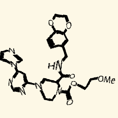 COCCOC(=O)N1CCN(c2cc(-n3ccnc3)ncn2)CC1C(=O)NCc1ccc2c(c1)OCCO2